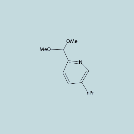 CCCc1ccc(C(OC)OC)nc1